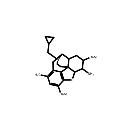 COc1cc(C)c2c3c1OC1C(N)C(OC)CC4C(C2)N(CC2CC2)CCC341